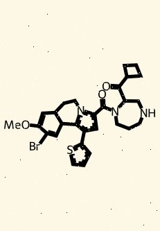 COC1=CC2CCn3c(C(=O)N4CCCNCC4C(=O)C4CCC4)cc(-c4cccs4)c3C2C=C1Br